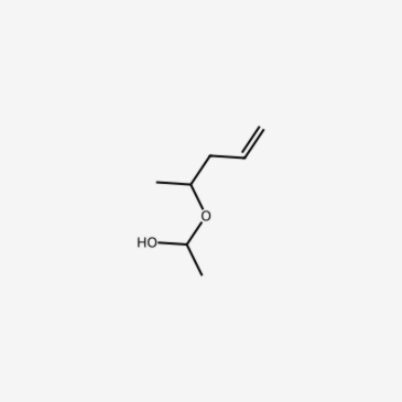 C=CCC(C)OC(C)O